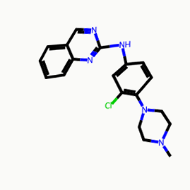 CN1CCN(c2ccc(Nc3ncc4ccccc4n3)cc2Cl)CC1